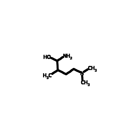 CC(CCN(C)C)C(N)O